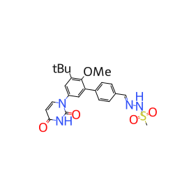 COc1c(-c2ccc(C=NNS(C)(=O)=O)cc2)cc(-n2ccc(=O)[nH]c2=O)cc1C(C)(C)C